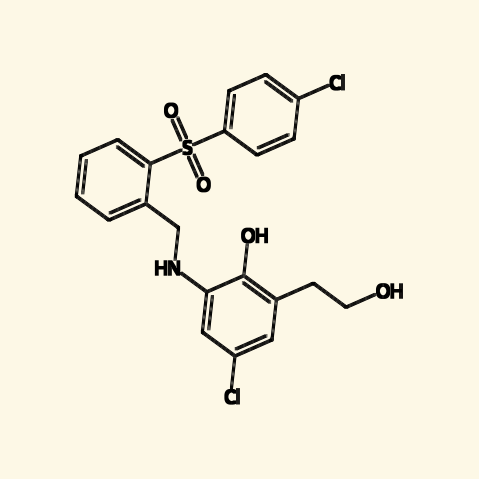 O=S(=O)(c1ccc(Cl)cc1)c1ccccc1CNc1cc(Cl)cc(CCO)c1O